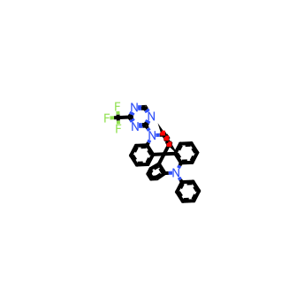 FC(F)(F)c1ncnc(N2c3ccccc3C3(c4ccccc4N(c4ccccc4)c4ccccc43)c3ccccc32)n1